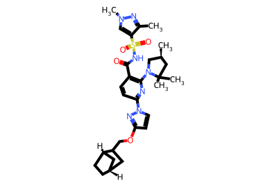 Cc1nn(C)cc1S(=O)(=O)NC(=O)c1ccc(-n2ccc(OCC3C[C@@H]4CC[C@H]3C4)n2)nc1N1C[C@@H](C)CC1(C)C